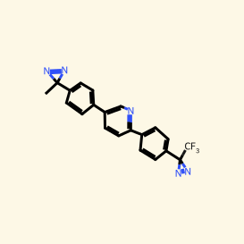 CC1(c2ccc(-c3ccc(-c4ccc(C5(C(F)(F)F)N=N5)cc4)nc3)cc2)N=N1